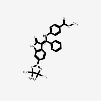 COC(=O)c1ccc(N/C(=C2\C(=O)Nc3cc(B4OC(C)(C)C(C)(C)O4)ccc32)c2ccccc2)cc1